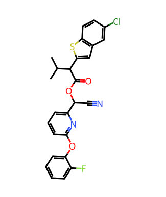 CC(C)C(C(=O)OC(C#N)c1cccc(Oc2ccccc2F)n1)c1cc2cc(Cl)ccc2s1